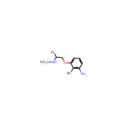 CCC(COc1cccc(N)c1C#N)NC(=O)O